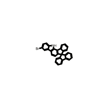 Brc1ccc2[nH]c3c4c(ccc3c2c1)C1(c2ccccc2-c2ccccc21)c1ccccc1-4